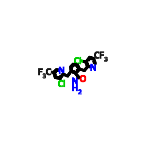 NC(=O)c1c(Cc2ncc(C(F)(F)F)cc2Cl)cccc1Cc1ncc(C(F)(F)F)cc1Cl